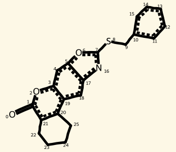 O=c1oc2cc3oc(SCc4ccccc4)nc3cc2c2c1CCCC2